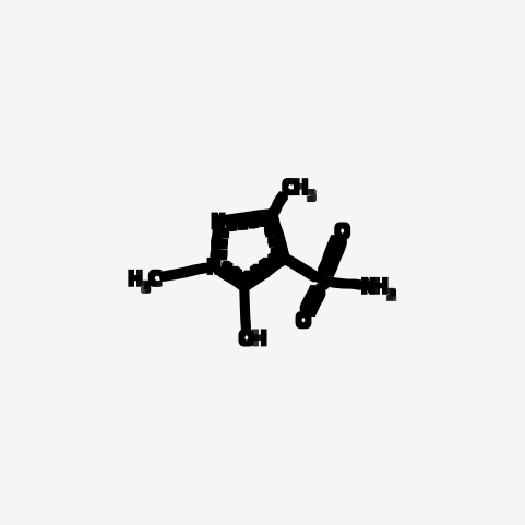 Cc1nn(C)c(O)c1S(N)(=O)=O